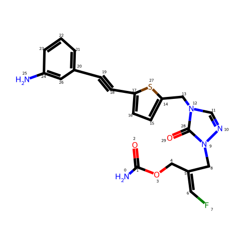 NC(=O)OC/C(=C/F)Cn1ncn(Cc2ccc(C#Cc3cccc(N)c3)s2)c1=O